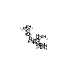 C=CCn1[nH]c2nc(Nc3ccc(C4CCN(CC(=O)N(C)C)CC4)cc3)nc(-c3cccc(C(C)(C)O)n3)c2c1=O